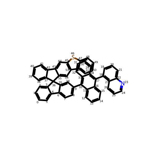 c1ccc2c(c1)-c1ccc(-c3c4ccccc4c(-c4cccc5ncccc45)c4ccccc34)cc1C21c2ccccc2-c2cc3sc4ccccc4c3cc21